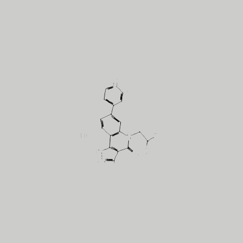 Cl.O=c1c2cn[nH]c2c2ccc(-c3ccncc3)cc2n1CC(F)F